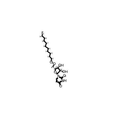 O=c1ccn([C@@H]2O[C@H](COOCCCCCCCCCCF)[C@@H](O)[C@H]2O)c(=O)[nH]1